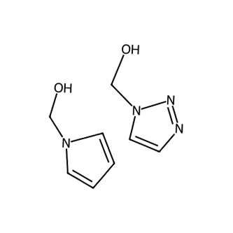 OCn1cccc1.OCn1ccnn1